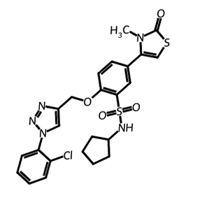 Cn1c(-c2ccc(OCc3cn(-c4ccccc4Cl)nn3)c(S(=O)(=O)NC3CCCC3)c2)csc1=O